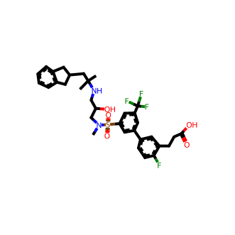 CN(CC(O)CNC(C)(C)CC1Cc2ccccc2C1)S(=O)(=O)c1cc(-c2ccc(F)c(CCC(=O)O)c2)cc(C(F)(F)F)c1